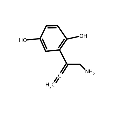 C=C=C(CN)c1cc(O)ccc1O